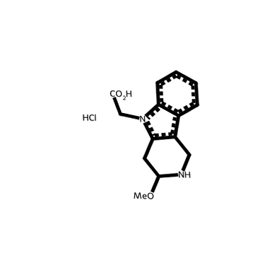 COC1Cc2c(c3ccccc3n2CC(=O)O)CN1.Cl